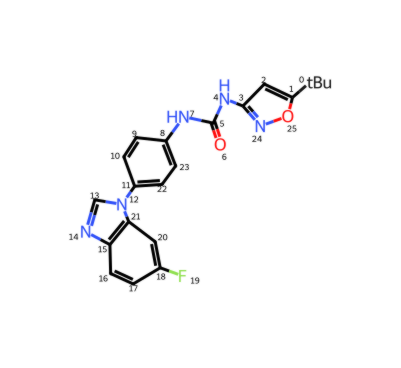 CC(C)(C)c1cc(NC(=O)Nc2ccc(-n3cnc4ccc(F)cc43)cc2)no1